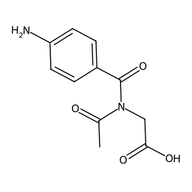 CC(=O)N(CC(=O)O)C(=O)c1ccc(N)cc1